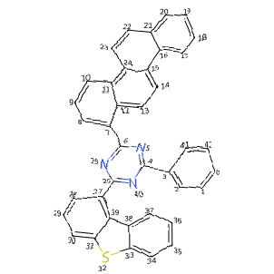 c1ccc(-c2nc(-c3cccc4c3ccc3c5ccccc5ccc43)nc(-c3cccc4sc5ccccc5c34)n2)cc1